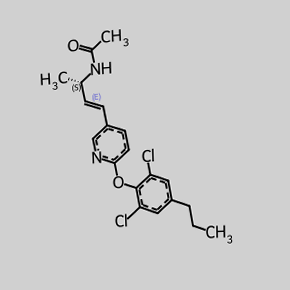 CCCc1cc(Cl)c(Oc2ccc(/C=C/[C@H](C)NC(C)=O)cn2)c(Cl)c1